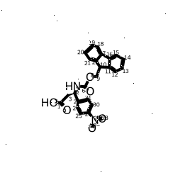 O=C(O)C[C@@H](NC(=O)OCC1c2ccccc2-c2ccccc21)c1ccc([N+](=O)[O-])cc1